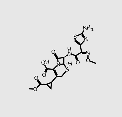 CO/N=C(\C(=O)N[C@@H]1C(=O)N2C(C(=O)O)=C(C3CC3C(=O)OC)CS[C@H]12)c1csc(N)n1